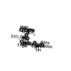 CCN(C(=O)n1nnn(-c2ccccc2Cl)c1=O)C1CCCCC1.CCOC(=O)C1=NOC(c2ccccc2)(c2ccccc2)C1.COC(=O)c1ccccc1CS(=O)(=O)NC(=O)Nc1nc(OC)cc(OC)n1.CS(=O)(=O)c1ccc(C(=O)C2C(=O)CCCC2=O)c(Cl)c1COCC1CCCO1